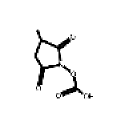 CC1CC(=O)N(OC(=O)O)C1=O